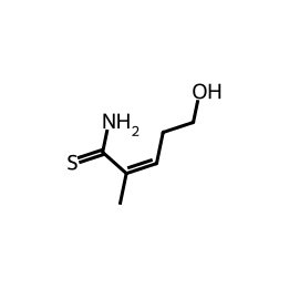 CC(=CCCO)C(N)=S